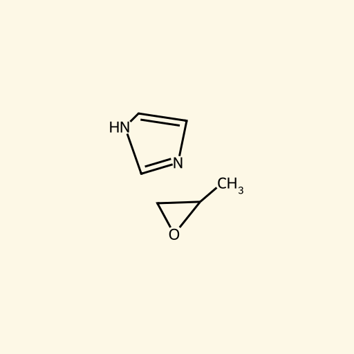 CC1CO1.c1c[nH]cn1